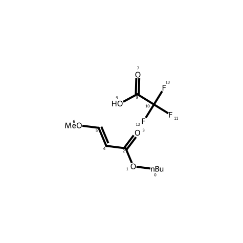 CCCCOC(=O)C=COC.O=C(O)C(F)(F)F